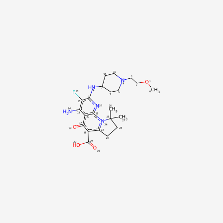 COCCN1CCC(Nc2nc3c(c(N)c2F)c(=O)c(C(=O)O)c2n3C(C)(C)CC2)CC1